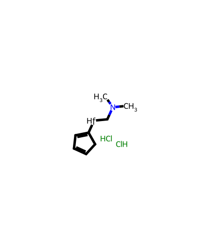 CN(C)[CH2][Hf][C]1=CC=CC1.Cl.Cl